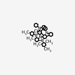 Cc1cc(C)c(B2c3cccc4c3-n3c5c2cc2c(c6ccccc6n2-c2ccccc2)c5c2c3c(cc3c5ccccc5n(-c5ccccc5)c32)B4c2c(C)cc(C)cc2C)c(C)c1